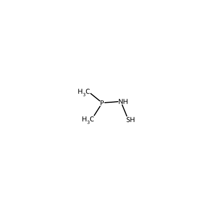 CP(C)NS